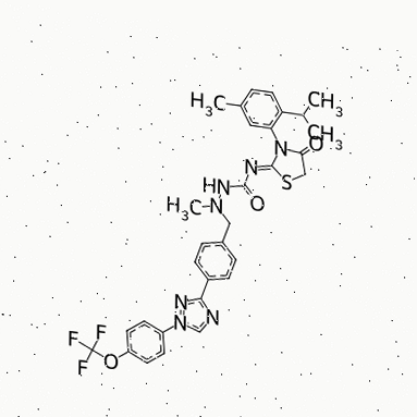 Cc1ccc(C(C)C)c(N2C(=O)CSC2=NC(=O)NN(C)Cc2ccc(-c3ncn(-c4ccc(OC(F)(F)F)cc4)n3)cc2)c1